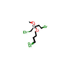 CO[Si](CCBr)(CCBr)OCCCCBr